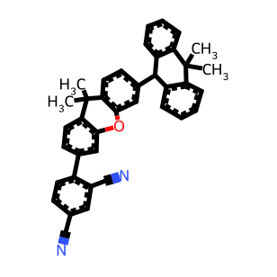 CC1(C)c2ccc(-c3ccc(C#N)cc3C#N)cc2Oc2cc(C3c4ccccc4C(C)(C)c4ccccc43)ccc21